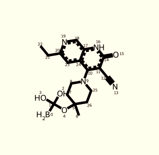 BC(O)(O)OC1(C)CCN(c2c(C#N)c(=O)[nH]c3cnc(CC)cc23)CC1